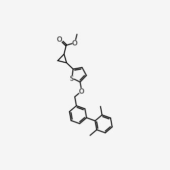 COC(=O)C1CC1c1ccc(OCc2cccc(-c3c(C)cccc3C)c2)s1